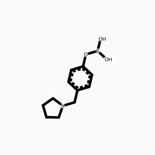 OB(O)Oc1ccc(CN2CCCC2)cc1